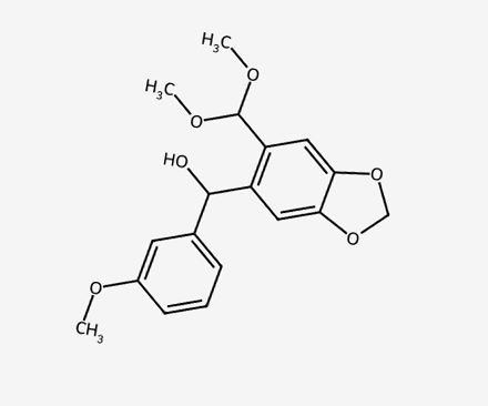 COc1cccc(C(O)c2cc3c(cc2C(OC)OC)OCO3)c1